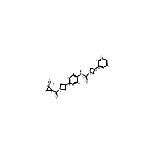 CC1CC1C(=O)N1CC(c2ccc(NC(=O)N3CC(c4cccnc4)C3)cc2)C1